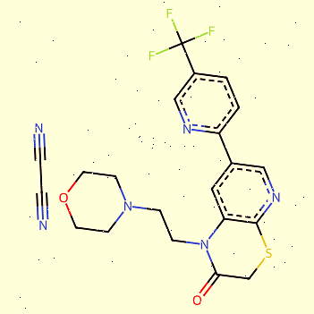 N#CC#N.O=C1CSc2ncc(-c3ccc(C(F)(F)F)cn3)cc2N1CCN1CCOCC1